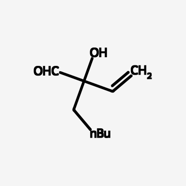 C=CC(O)(C=O)CCCCC